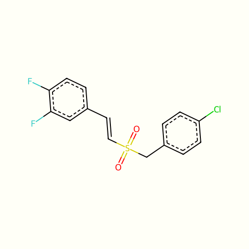 O=S(=O)(C=Cc1ccc(F)c(F)c1)Cc1ccc(Cl)cc1